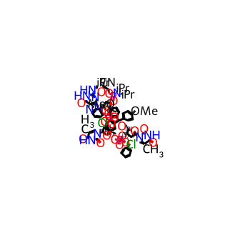 COc1ccc(C(OC[C@H]2O[C@@H](n3cc(C)c(=O)[nH]c3=O)C[C@@H]2OP(=O)(OC[C@H]2O[C@@H](n3cc(C)c(=O)[nH]c3=O)C[C@@H]2OP(=O)(OC[C@H]2O[C@@H](n3cnc4c(=O)[nH]c(NC(=O)C(C)C)nc43)C[C@@H]2OP(OCCC#N)N(C(C)C)C(C)C)Oc2ccccc2Cl)Oc2ccccc2Cl)(c2ccccc2)c2ccc(OC)cc2)cc1